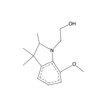 COc1cccc2c1N(CCO)C(C)C2(C)C